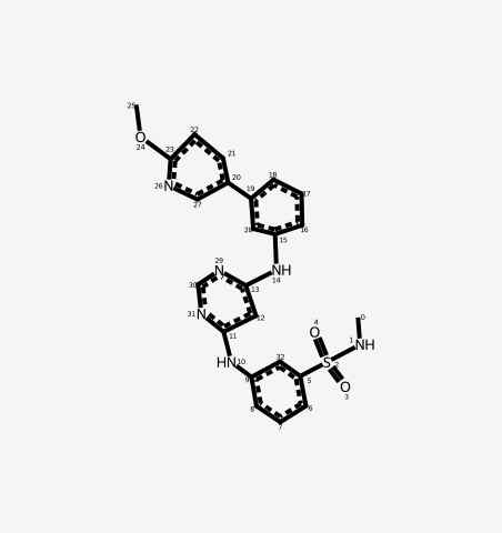 CNS(=O)(=O)c1cccc(Nc2cc(Nc3cccc(-c4ccc(OC)nc4)c3)ncn2)c1